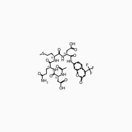 CSCC[C@H](NC(=O)[C@H](CCC(N)=O)NC(=O)[C@H](CC(=O)O)NC(C)=O)C(=O)N[C@@H](CC(=O)O)C(=O)Nc1ccc2c(C(F)(F)F)cc(=O)oc2c1